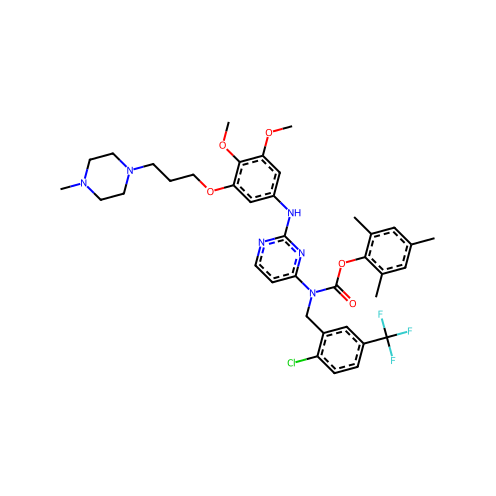 COc1cc(Nc2nccc(N(Cc3cc(C(F)(F)F)ccc3Cl)C(=O)Oc3c(C)cc(C)cc3C)n2)cc(OCCCN2CCN(C)CC2)c1OC